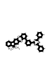 CC1(C)c2ccccc2-c2cc3c(cc21)Oc1c(cccc1-c1cccc(-c2nc(-c4ccccc4)nc(-c4ccccc4)n2)c1)O3